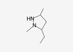 CCC1CC(C)NN1C